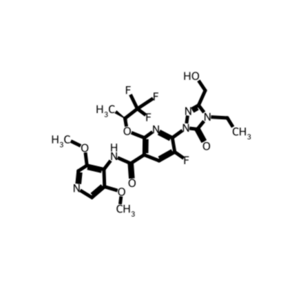 CCn1c(CO)nn(-c2nc(O[C@@H](C)C(F)(F)F)c(C(=O)Nc3c(OC)cncc3OC)cc2F)c1=O